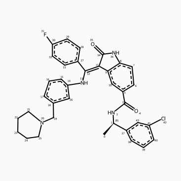 C[C@@H](NC(=O)c1ccc2c(c1)C(=C(Nc1cccc(CN3CCCCC3)c1)c1ccc(F)cc1)C(=O)N2)c1cccc(Cl)c1